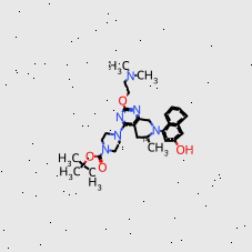 C[C@H]1Cc2c(nc(OCCN(C)C)nc2N2CCN(C(=O)OC(C)(C)C)CC2)CN1c1cc(O)cc2ccccc12